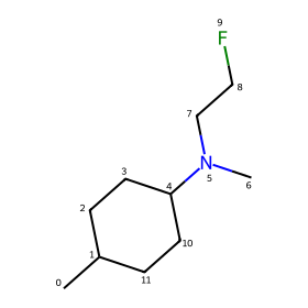 CC1CCC(N(C)CCF)CC1